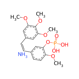 COc1ccc(/C=C\c2cc(OC)c(OC)c(OC)c2)cc1OP(=O)(O)O.N